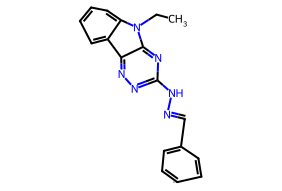 CCn1c2ccccc2c2nnc(NN=Cc3cc[c]cc3)nc21